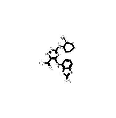 Cc1nc2cccc(Nc3nc(N[C@@H]4CCCC[C@@H]4N)nnc3C(N)=O)c2s1